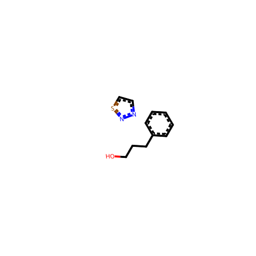 OCCCc1ccccc1.c1csnn1